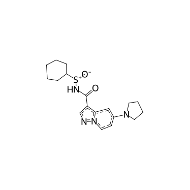 O=C(N[S+]([O-])C1CCCCC1)c1cnn2ccc(N3CCCC3)cc12